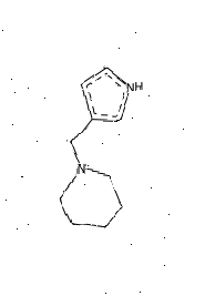 [CH](c1cc[nH]c1)N1CCCCC1